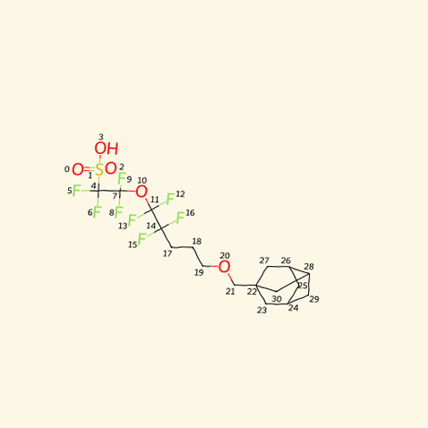 O=S(=O)(O)C(F)(F)C(F)(F)OC(F)(F)C(F)(F)CCCOCC12CC3CC(C1)C(C3)C2